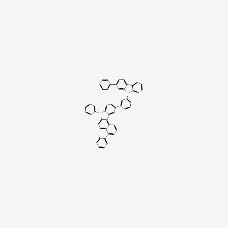 c1ccc(-c2ccc3c4ccccc4n(-c4cccc(-c5ccc6c(c5)c5c7cccc8c7c(cc5n6-c5ccccc5)Sc5ccccc5-8)c4)c3c2)cc1